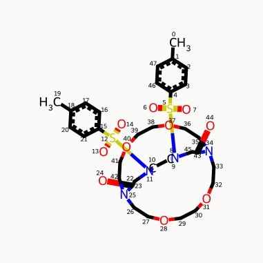 Cc1ccc(S(=O)(=O)N2CCN(S(=O)(=O)c3ccc(C)cc3)CC(=O)N3CCOCCOCCN(CCOCCOCC3)C(=O)C2)cc1